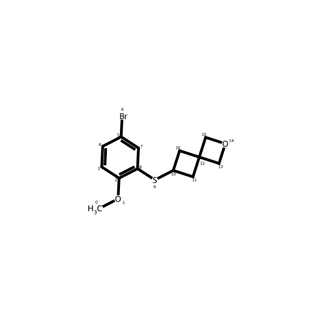 COc1ccc(Br)cc1SC1CC2(COC2)C1